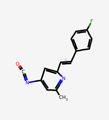 Cc1cc(N=C=O)cc(/C=C/c2ccc(F)cc2)n1